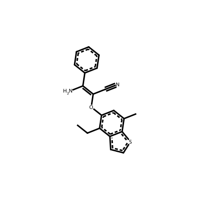 CCc1c(OC(C#N)=C(N)c2ccccc2)cc(C)c2sccc12